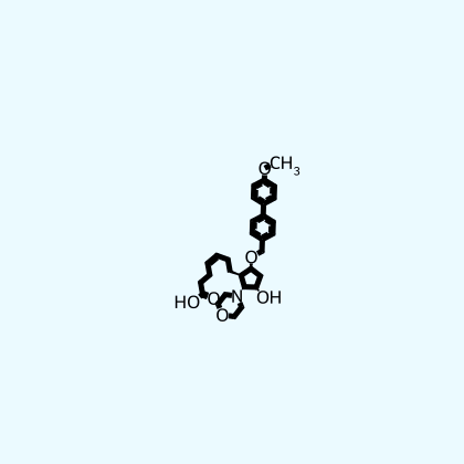 COc1ccc(-c2ccc(CO[C@H]3C[C@H](O)[C@H](N4CCOCC4)[C@H]3CC/C=C\CCC(=O)O)cc2)cc1